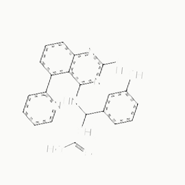 Cc1cccc(C(C)Nc2nc(C)nc3cccc(-c4ccccn4)c23)c1.O=CO